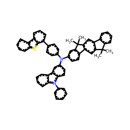 CC1(C)c2ccccc2-c2cc3c(cc21)-c1ccc(N(c2ccc(-c4cccc5c4sc4ccccc45)cc2)c2ccc4c(c2)c2ccccc2n4-c2ccccc2)cc1C3(C)C